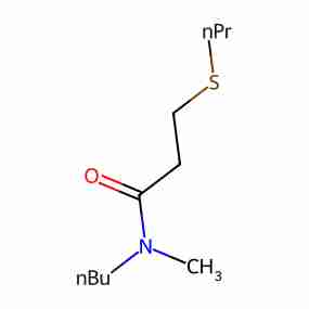 CCCCN(C)C(=O)CCSCCC